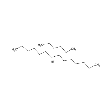 CCCCCC.CCCCCCCCCCCCCC.F